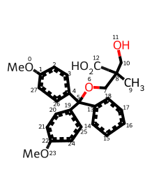 COc1ccc(C(OCC(C)(CO)C(=O)O)(c2ccccc2)c2ccc(OC)cc2)cc1